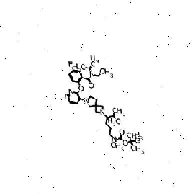 CCN(C(=O)c1cc(F)ccc1Oc1nnccc1N1CCC2(C1)CN(C(CCCN(C)C(=O)OC(C)(C)C)C(C)C)C2)C(C)C